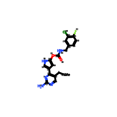 CNCc1cnc(N)nc1-c1c[nH]c(OC(=O)NCc2ccc(F)c(Cl)c2)c1